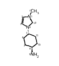 CN1C=CN([C@H]2CC[C@H](N)CC2)C1